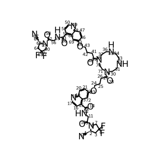 N#C[C@@H]1CC(F)(F)CN1C(=O)CNC(=O)c1ccnc2ccc(OCCCC(=O)N3CCNCCNCCN(C(=O)CCCOc4ccc5nccc(C(=O)NCC(=O)N6CC(F)(F)C[C@H]6C#N)c5c4)CC3)cc12